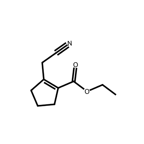 CCOC(=O)C1=C(CC#N)CCC1